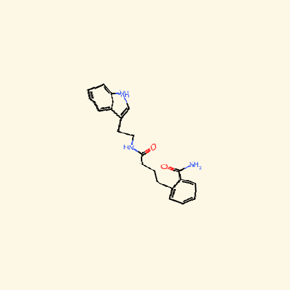 NC(=O)c1ccccc1CC[CH]C(=O)NCCc1c[nH]c2ccccc12